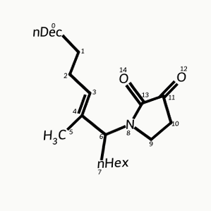 CCCCCCCCCCCCC=C(C)C(CCCCCC)N1CCC(=O)C1=O